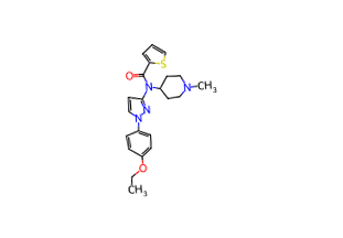 CCOc1ccc(-n2ccc(N(C(=O)c3cccs3)C3CCN(C)CC3)n2)cc1